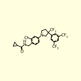 O=C(NCc1ccc(N2CCC(c3cc(C(F)(F)F)cc(C(F)(F)F)c3)(C(F)(F)F)C2)cc1Cl)C1CC1